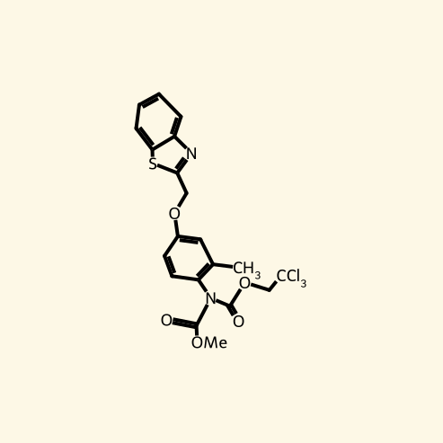 COC(=O)N(C(=O)OCC(Cl)(Cl)Cl)c1ccc(OCc2nc3ccccc3s2)cc1C